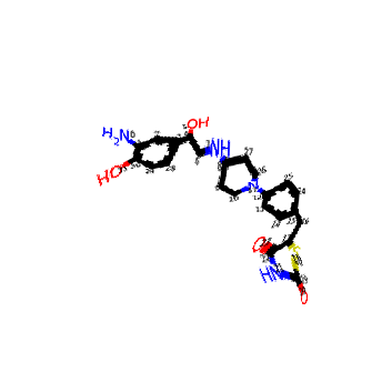 Nc1cc(C(O)CNC2CCN(c3ccc(CC4SC(=O)NC4=O)cc3)CC2)ccc1O